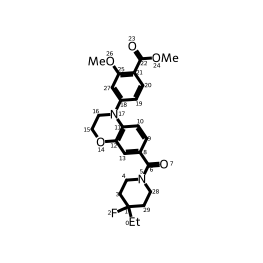 CCC1(F)CCN(C(=O)c2ccc3c(c2)OCCN3c2ccc(C(=O)OC)c(OC)c2)CC1